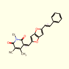 CCN1C(=O)C(C#N)=C(C)/C(=C/c2cc3oc(/C=C/c4ccccc4)cc3o2)C1=O